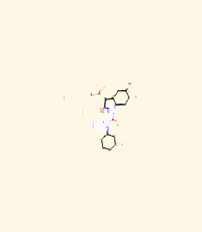 CCCCCCCCC(=O)c1c(O)n(C(=O)Nc2ccccc2)c2ccc(F)cc12